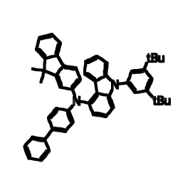 CC(C)(C)c1cc(-n2c3ccccc3c3c(N(c4ccc(-c5ccccc5)cc4)c4ccc5c(c4)C(C)(C)c4ccccc4-5)cccc32)cc(C(C)(C)C)c1